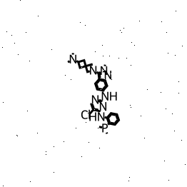 CN(C)C1CC2(C1)CN(c1c3ccc(Nc4ncc(Cl)c(Nc5ccccc5P(C)C)n4)cc3nn1C)C2